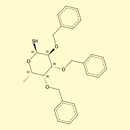 C[C@@H]1O[C@@H](S)[C@@H](OCc2ccccc2)[C@H](OCc2ccccc2)[C@@H]1OCc1ccccc1